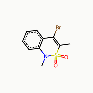 CC1=C(Br)c2ccccc2N(C)S1(=O)=O